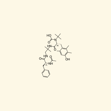 CC(=O)N[C@@H](Cc1ccccc1)C(=O)NCC(C)(C)NC(=O)[C@@H](Cc1c(C)cc(O)c(C)c1C)N(C(=O)O)C(C)(C)C